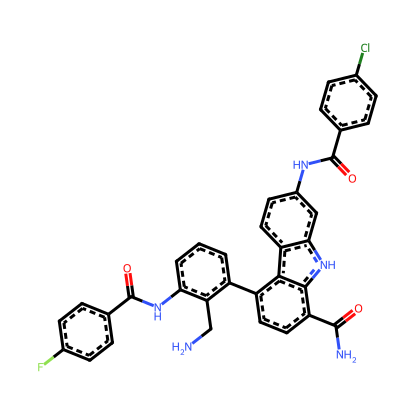 NCc1c(NC(=O)c2ccc(F)cc2)cccc1-c1ccc(C(N)=O)c2[nH]c3cc(NC(=O)c4ccc(Cl)cc4)ccc3c12